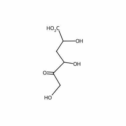 O=C(O)C(O)CC(O)C(=O)CO